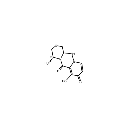 C[C@H]1COCC2Nn3ccc(=O)c(O)c3C(=O)N21